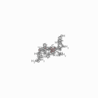 CCCC[C@@H](C(=O)N[C@@H](CCCNC(=N)N)C(=O)NC(CSCC(=O)N[C@@H](Cc1ccc(O)cc1)C(=O)NC)C(=O)NCC(N)=O)N(C)C(=O)[C@H](CCSC)N(C)C(=O)[C@H](Cc1c[nH]c2ccccc12)NC(=O)[C@H](CO)NC(=O)[C@H](Cc1c[nH]c2ccccc12)NC(=O)[C@@H]1C[C@@H](O)CN1C(=O)[C@H](CC(C)C)NC(=O)[C@H](CO)NC(=O)[C@@H]1CCCN1C(=O)[C@@H](N)CC(N)=O